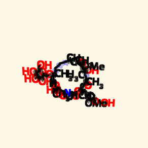 CO[C@@H]1C[C@H](C[C@@H](C)[C@@H]2CC(=O)[C@H](C)/C=C(\C)[C@@H](O)[C@@H](OC)C(=O)[C@H](C)C[C@H](C)/C=C/C=C/C=C(\C)[C@@H](OC[C@@H]3O[C@H](CO)[C@@H](O)[C@H](O)[C@H]3O)C[C@@H]3CC[C@@H](C)[C@@](O)(O3)C(=O)C(=O)N3CCCC[C@H]3C(=O)O2)CC[C@H]1OCCO